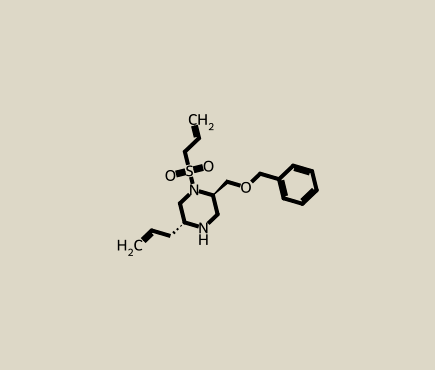 C=CC[C@@H]1CN(S(=O)(=O)CC=C)[C@@H](COCc2ccccc2)CN1